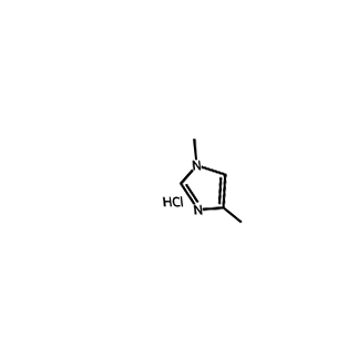 Cc1cn(C)cn1.Cl